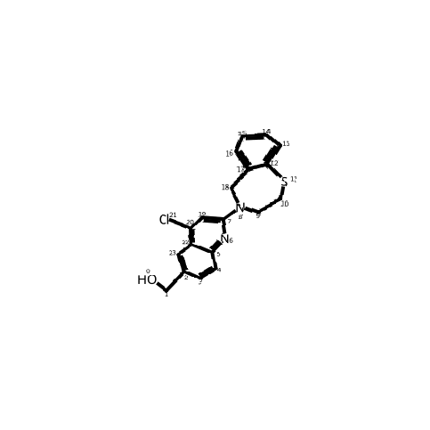 OCc1ccc2nc(N3CCSc4ccccc4C3)cc(Cl)c2c1